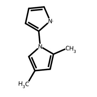 Cc1cc(C)n(C2=CC=C[N]2)c1